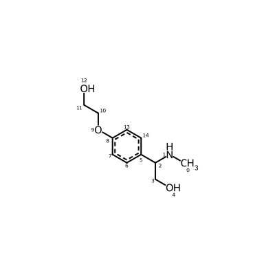 CNC(CO)c1ccc(OCCO)cc1